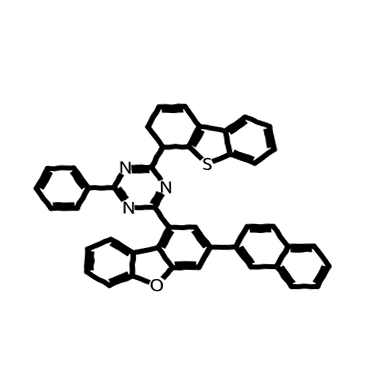 C1=Cc2c(sc3ccccc23)C(c2nc(-c3ccccc3)nc(-c3cc(-c4ccc5ccccc5c4)cc4oc5ccccc5c34)n2)C1